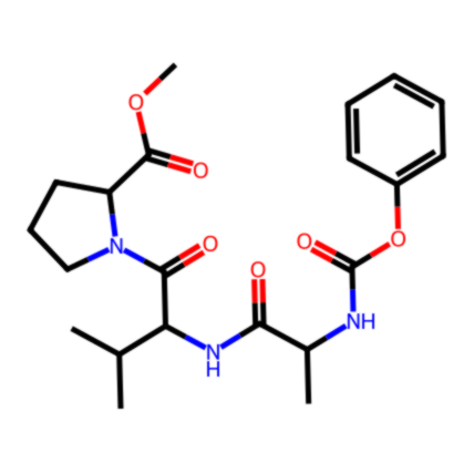 COC(=O)C1CCCN1C(=O)C(NC(=O)C(C)NC(=O)Oc1ccccc1)C(C)C